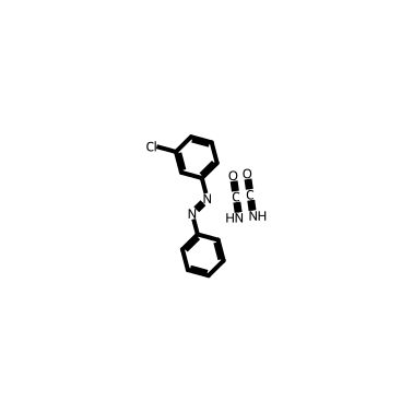 Clc1cccc(N=Nc2ccccc2)c1.N=C=O.N=C=O